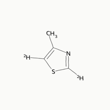 [2H]c1nc(C)c([2H])s1